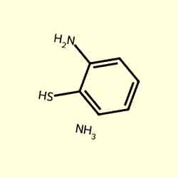 N.Nc1ccccc1S